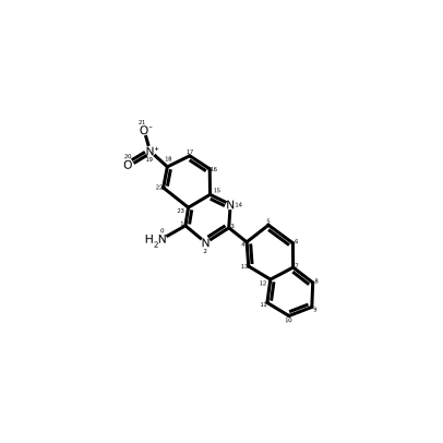 Nc1nc(-c2ccc3ccccc3c2)nc2ccc([N+](=O)[O-])cc12